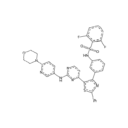 CC(C)c1nc(-c2cccc(NS(=O)(=O)c3c(F)cccc3F)c2)c(-c2ccnc(Nc3ccc(N4CCOCC4)nc3)n2)s1